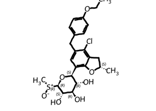 CCOc1ccc(Cc2cc([C@@H]3O[C@H]([S@+](C)[O-])[C@@H](O)[C@H](O)[C@H]3O)c3c(c2Cl)C[C@H](C)O3)cc1